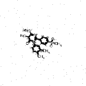 CSc1nc(-c2ccc(S(C)(=O)=O)cc2)n(-c2ccc(C)c(C)c2)c(=O)c1C#N